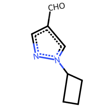 O=Cc1cnn(C2CCC2)c1